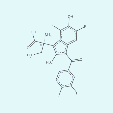 CC[C@@](C)(C(=O)O)c1c(C)n(C(=O)c2ccc(F)c(F)c2)c2cc(F)c(O)c(F)c12